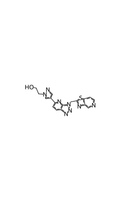 OCCn1cc(-c2ccc3nnn(Cc4nc5cnccc5s4)c3n2)cn1